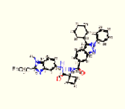 CCOC(=O)c1nc2cc(NC(=O)C3(NC(=O)c4ccc5c(C6CCCCC6)n(-c6ccccc6)nc5c4)CCC3)ccc2n1C